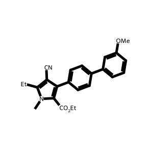 CCOC(=O)c1c(-c2ccc(-c3cccc(OC)c3)cc2)c(C#N)c(CC)n1C